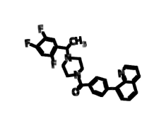 CC(c1cc(F)c(F)cc1F)N1CCN(C(=O)c2ccc(-c3cccc4cccnc34)cc2)CC1